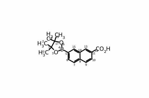 CC1(C)OB(c2ccc3ccc(C(=O)O)cc3c2)OC1(C)C